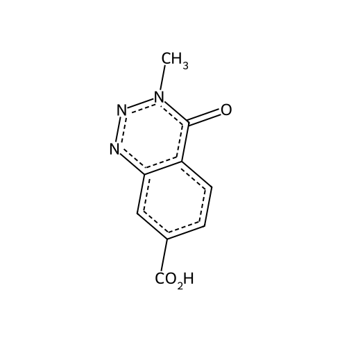 Cn1nnc2cc(C(=O)O)ccc2c1=O